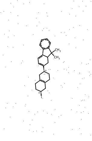 CC1(C)c2ccccc2C2=CC=C([C@H]3CCC4=C(CC[C@H](I)C4)C3)CC21